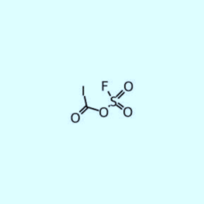 O=C(I)OS(=O)(=O)F